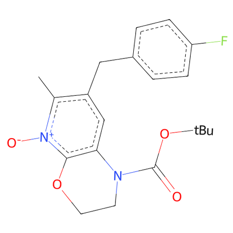 Cc1c(Cc2ccc(F)cc2)cc2c([n+]1[O-])OCCN2C(=O)OC(C)(C)C